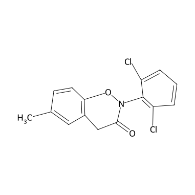 Cc1ccc2c(c1)CC(=O)N(c1c(Cl)cccc1Cl)O2